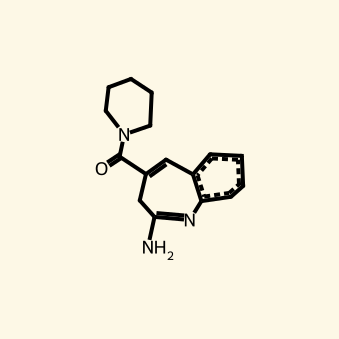 NC1=Nc2ccccc2C=C(C(=O)N2CCCCC2)C1